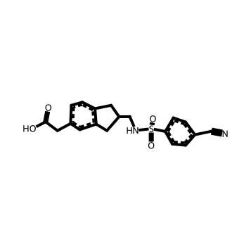 N#Cc1ccc(S(=O)(=O)NCC2Cc3ccc(CC(=O)O)cc3C2)cc1